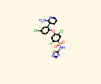 Nc1ncccc1-c1cc(Cl)ccc1Oc1cc(F)c(S(=O)(=O)Nc2ncns2)cc1Cl